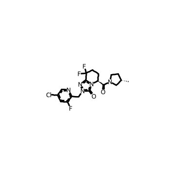 C[C@H]1CCN(C(=O)[C@@H]2CCC(F)(F)c3nn(Cc4ncc(Cl)cc4F)c(=O)n32)C1